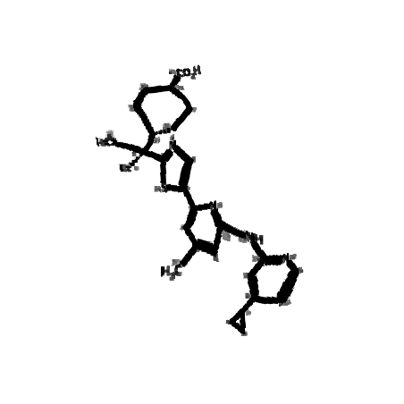 CC[C@@](O)(c1ncc(-c2cc(C)cc(Nc3cc(C4CC4)ccn3)n2)s1)[C@H]1CC[C@H](C(=O)O)CC1